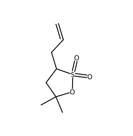 C=CCC1CC(C)(C)OS1(=O)=O